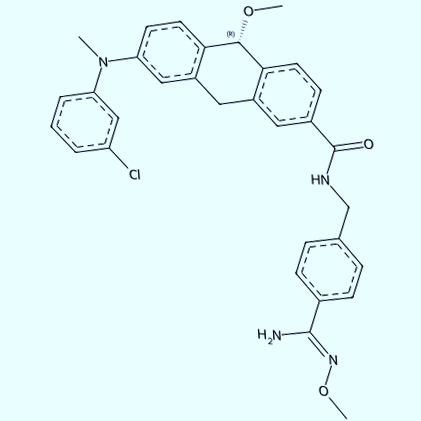 CON=C(N)c1ccc(CNC(=O)c2ccc3c(c2)Cc2cc(N(C)c4cccc(Cl)c4)ccc2[C@@H]3OC)cc1